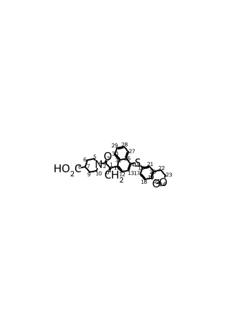 C=C(C(=O)N1CCC(C(=O)O)CC1)c1ccc(Sc2ccc3c(c2)CCOO3)c2ccccc12